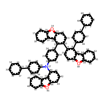 c1ccc(-c2ccc(-c3c(-c4ccc5oc6ccccc6c5c4-c4ccc(N(c5ccc(-c6ccccc6)cc5)c5cccc6oc7ccccc7c56)cc4)ccc4oc5ccccc5c34)cc2)cc1